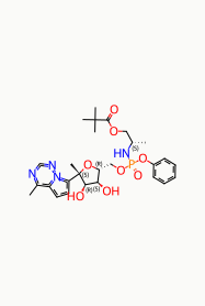 Cc1ncnn2c([C@]3(C)O[C@H](COP(=O)(N[C@@H](C)COC(=O)C(C)(C)C)Oc4ccccc4)[C@@H](O)[C@H]3O)ccc12